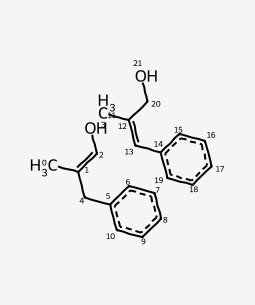 CC(=CO)Cc1ccccc1.CC(=Cc1ccccc1)CO